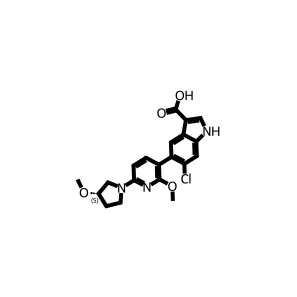 COc1nc(N2CC[C@H](OC)C2)ccc1-c1cc2c(C(=O)O)c[nH]c2cc1Cl